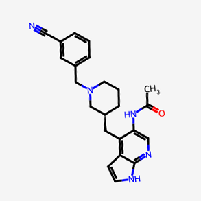 CC(=O)Nc1cnc2[nH]ccc2c1C[C@@H]1CCCN(Cc2cccc(C#N)c2)C1